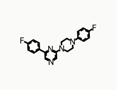 Fc1ccc(-c2cncc(N3CCN(c4ccc(F)cc4)CC3)n2)cc1